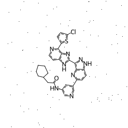 O=C(CC1CCCCC1)Nc1cncc(-c2ccc3[nH]nc(-c4nc5c(-c6ccc(Cl)s6)nccc5[nH]4)c3n2)c1